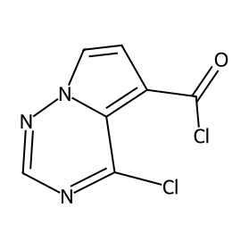 O=C(Cl)c1ccn2ncnc(Cl)c12